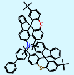 CC(C)(C)c1ccc2c(c1)C1(c3cc(C(C)(C)C)ccc3O2)c2ccccc2-c2ccc(N(c3ccc(-c4ccccc4)cc3)c3ccc4c(c3)C3(c5cc(C(C)(C)C)ccc5Sc5ccc(C(C)(C)C)cc53)c3ccccc3-4)cc21